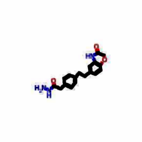 NNC(=O)Cc1ccc(CCc2ccc3c(c2)NC(=O)CO3)cc1